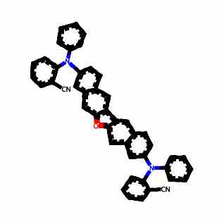 N#Cc1ccccc1N(c1ccccc1)c1ccc2cc3c(cc2c1)oc1cc2cc(N(c4ccccc4)c4ccccc4C#N)ccc2cc13